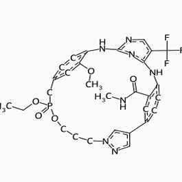 CCOP1(=O)Cc2ccc(c(OC)c2)Nc2ncc(C(F)(F)F)c(n2)Nc2ccc(cc2C(=O)NC)-c2cnn(c2)CCCO1